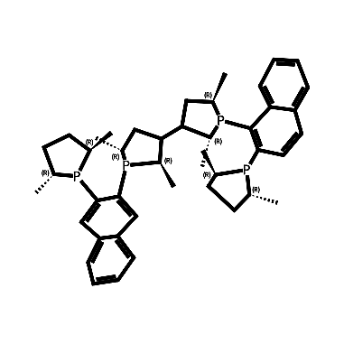 C[C@@H]1CC[C@@H](C)P1c1cc2ccccc2cc1P1[C@H](C)CC(C2C[C@@H](C)P(c3c(P4[C@H](C)CC[C@H]4C)ccc4ccccc34)[C@@H]2C)[C@H]1C